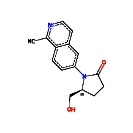 N#Cc1nccc2cc(N3C(=O)CC[C@H]3CO)ccc12